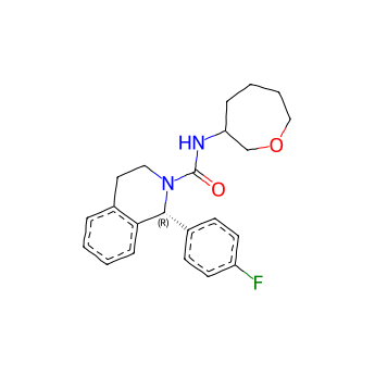 O=C(NC1CCCCOC1)N1CCc2ccccc2[C@H]1c1ccc(F)cc1